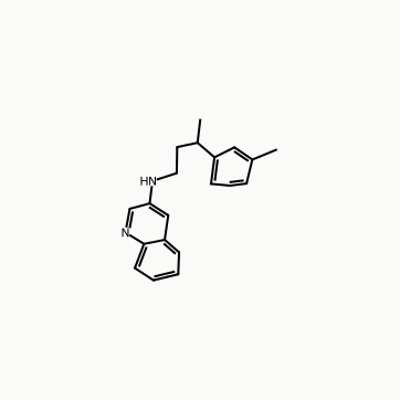 Cc1cccc(C(C)CCNc2cnc3ccccc3c2)c1